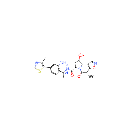 Cc1ncsc1-c1ccc([C@H](C)NC(=O)[C@@H]2C[C@@H](O)CN2C(=O)[C@H](c2ccno2)C(C)C)c(N)c1